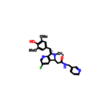 COc1cc(/C=C2\c3ncc(F)cc3C(CC(=O)NCc3cccnc3)N2C)cc(OC)c1O